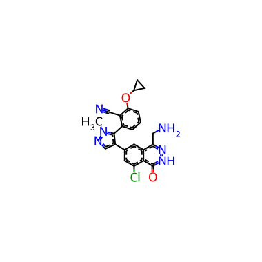 Cn1ncc(-c2cc(Cl)c3c(=O)[nH]nc(CN)c3c2)c1-c1cccc(OC2CC2)c1C#N